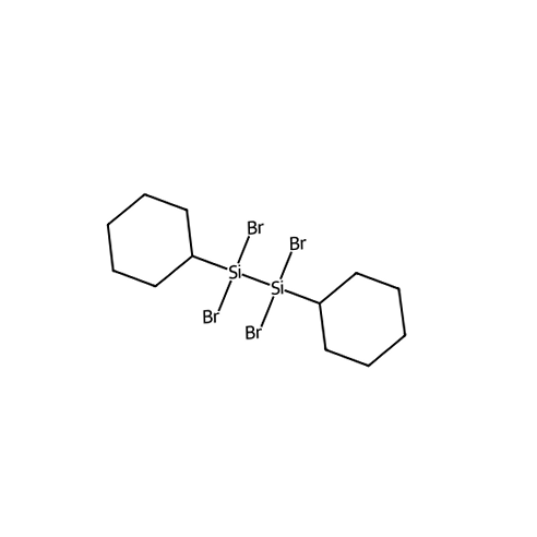 Br[Si](Br)(C1CCCCC1)[Si](Br)(Br)C1CCCCC1